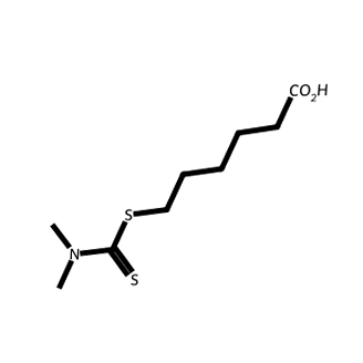 CN(C)C(=S)SCCCCCC(=O)O